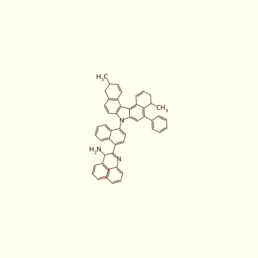 CC1C=Cc2c(ccc3c2c2c4c(c(-c5ccccc5)cc2n3-c2ccc(/C(=N/c3ccccc3)C(N)c3ccccc3)c3ccccc23)C(C)CC=C4)C1